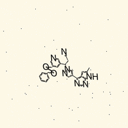 Cc1cc2c(-c3cnn(C(CC#N)c4cncc(S(=O)(=O)c5ccccc5)c4)c3)ncnc2[nH]1